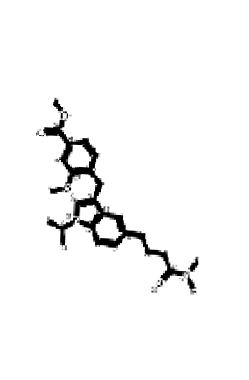 COC(=O)c1ccc(Cc2cn(C(C)C)c3ccc(CCCC(=O)N(C)C)cc23)c(OC)c1